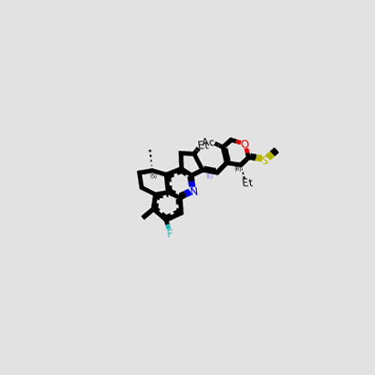 C=S=C1OCC(C(C)=O)=C(/C=C2/c3nc4cc(F)c(C)c5c4c(c3CC2CC)[C@@H](C)CC5)[C@H]1CC